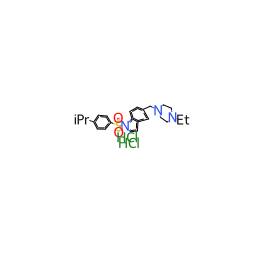 CCN1CCN(Cc2ccc3c(ccn3S(=O)(=O)c3ccc(C(C)C)cc3)c2)CC1.Cl.Cl